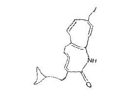 O=c1[nH]c2cc(I)ccc2cc1CC1CC1